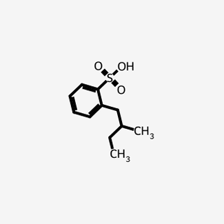 CCC(C)Cc1ccccc1S(=O)(=O)O